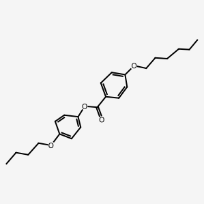 CCCCCCOc1ccc(C(=O)Oc2ccc(OCCCC)cc2)cc1